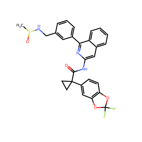 C[S+]([O-])NCc1cccc(-c2nc(NC(=O)C3(c4ccc5c(c4)OC(F)(F)O5)CC3)cc3ccccc23)c1